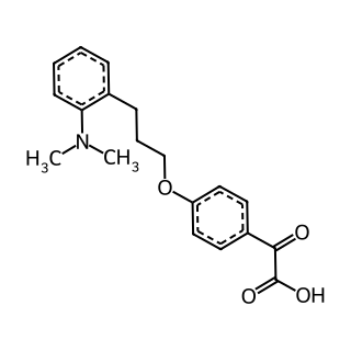 CN(C)c1ccccc1CCCOc1ccc(C(=O)C(=O)O)cc1